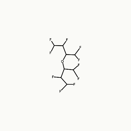 FC(F)C(F)C(OC(C(F)F)C(F)C(F)F)C(F)F